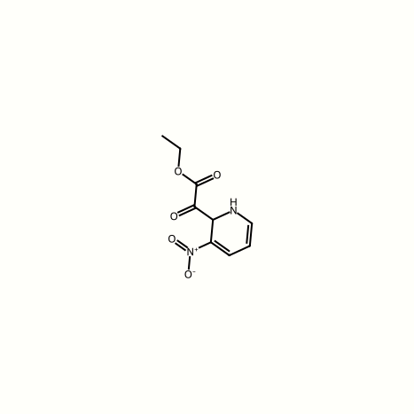 CCOC(=O)C(=O)C1NC=CC=C1[N+](=O)[O-]